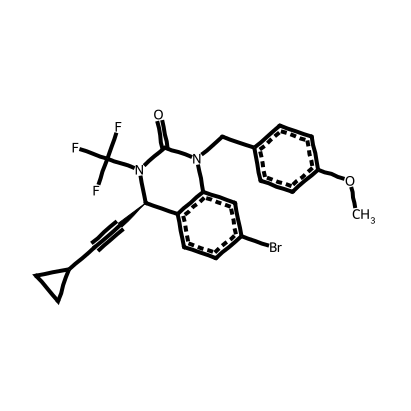 COc1ccc(CN2C(=O)N(C(F)(F)F)[C@H](C#CC3CC3)c3ccc(Br)cc32)cc1